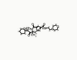 CN1C(=O)c2cc(C(=O)NCCN3CCOCC3)nn2CC1(C)C(=O)NC1CCCCC1